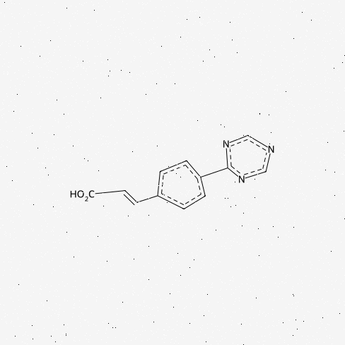 O=C(O)C=Cc1ccc(-c2ncncn2)cc1